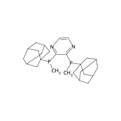 CP(c1nccnc1P(C)C12CC3CC(CC(C3)C1)C2)C12CC3CC(CC(C3)C1)C2